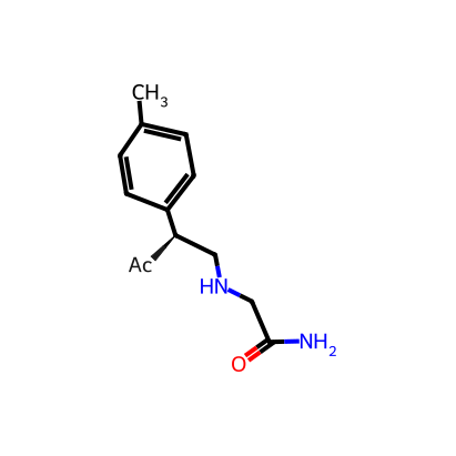 CC(=O)[C@H](CNCC(N)=O)c1ccc(C)cc1